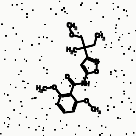 CCC(C)(COC)c1cc(NC(=O)c2c(OC)cccc2OC)on1